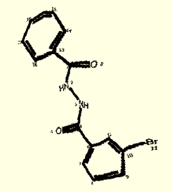 O=C(NNC(=O)c1cccc(Br)c1)c1ccccc1